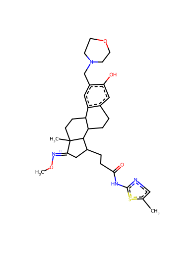 CO/N=C1\CC(CCC(=O)Nc2ncc(C)s2)C2C3CCc4cc(O)c(CN5CCOCC5)cc4C3CCC12C